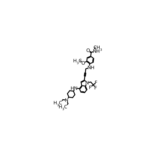 CCN(CC)C1CCC(Nc2cccc3c2cc(C#CCNc2ccc(C(=O)NC)cc2OC)n3CC(F)(F)F)CC1